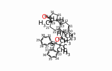 CC(C)(C)[Si](OC1CCCC2=CC[C@H]3[C@@H]4CCC(=O)[C@@]4(C)CC[C@@H]3[C@]21C)(c1ccccc1)c1ccccc1